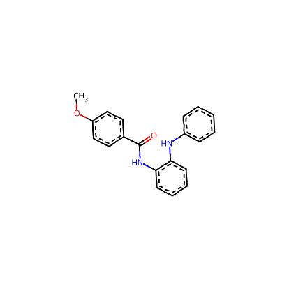 COc1ccc(C(=O)Nc2ccccc2Nc2ccccc2)cc1